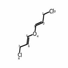 ClCC=COC=CCCl